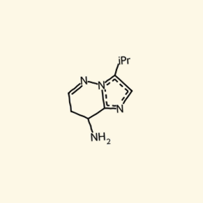 CC(C)c1cnc2n1N=CCC2N